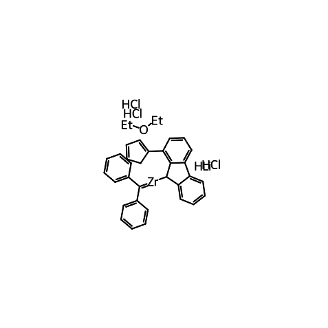 C1=CCC(c2cccc3c2[CH]([Zr]=[C](c2ccccc2)c2ccccc2)c2ccccc2-3)=C1.CCOCC.Cl.Cl.Cl.[LiH]